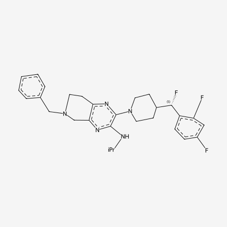 CC(C)Nc1nc2c(nc1N1CCC([C@H](F)c3ccc(F)cc3F)CC1)CCN(Cc1ccccc1)C2